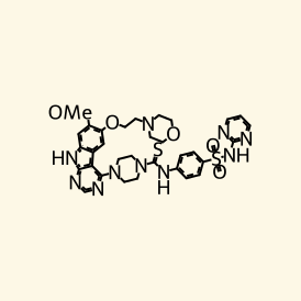 COc1cc2[nH]c3ncnc(N4CCN(C(=S)Nc5ccc(S(=O)(=O)Nc6ncccn6)cc5)CC4)c3c2cc1OCCN1CCOCC1